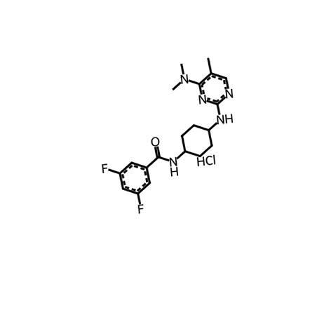 Cc1cnc(NC2CCC(NC(=O)c3cc(F)cc(F)c3)CC2)nc1N(C)C.Cl